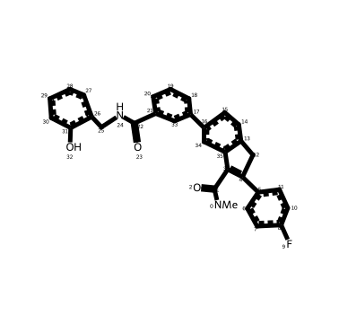 CNC(=O)C1=C(c2ccc(F)cc2)Cc2ccc(-c3cccc(C(=O)NCc4ccccc4O)c3)cc21